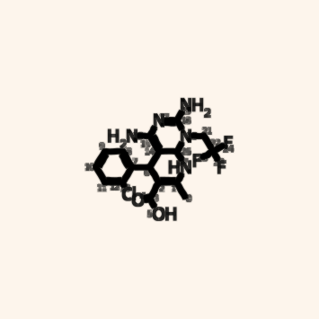 CC1=C(C(=O)O)C(c2ccccc2Cl)C2=C(N)N=C(N)N(CC(F)(F)F)C2N1